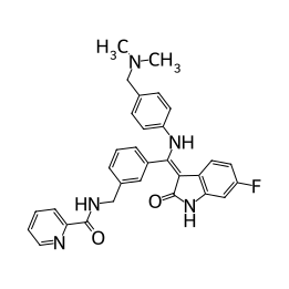 CN(C)Cc1ccc(NC(=C2C(=O)Nc3cc(F)ccc32)c2cccc(CNC(=O)c3ccccn3)c2)cc1